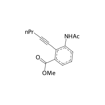 CCCC#Cc1c(NC(C)=O)cccc1C(=O)OC